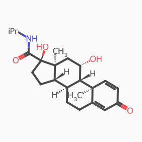 CC(C)NC(=O)[C@@]1(O)CC[C@H]2[C@@H]3CCC4=CC(=O)C=C[C@]4(C)[C@H]3[C@@H](O)C[C@@]21C